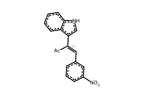 CC(=O)/C(=C\c1cccc([N+](=O)[O-])c1)c1c[nH]c2ccccc12